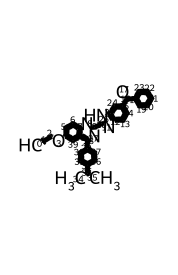 C#CCOc1ccc2nc(-c3nc4ccc(C(=O)c5ccccc5)cc4[nH]3)nc(-c3ccc(C(C)C)cc3)c2c1